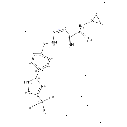 C=C(NC1CC1)C(=N)/C=C\NCc1ccc(C2N=C(C(F)(F)F)ON2)cc1